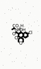 C[C@H](NC(=O)C1=C(O)c2cc(Cl)ccc2C2(CCOCC2)C1=O)C(=O)O